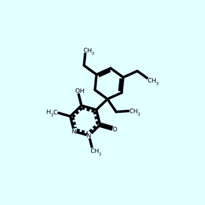 CCC1=CC(CC)(c2c(O)c(C)nn(C)c2=O)CC(CC)=C1